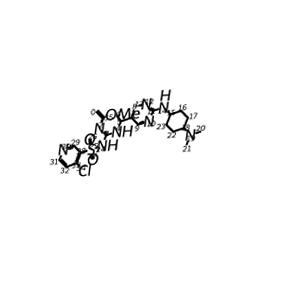 C=C(/N=C(\NC(C)[C@@H](C)/C=N\C(=N/C)NC1CCC(N(C)C)CC1)NS(=O)(=O)c1cnccc1Cl)OC